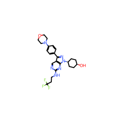 O[C@H]1CC[C@@H](n2nc(-c3ccc(N4CCOCC4)cc3)c3cnc(NCCC(F)(F)F)nc32)CC1